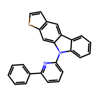 c1ccc(-c2cccc(-n3c4ccccc4c4cc5ccsc5cc43)n2)cc1